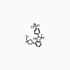 COCC1(C)CCN(c2ccccc2NC(c2ccc(S(=O)(=O)Cl)cc2)C(F)(F)F)CC1